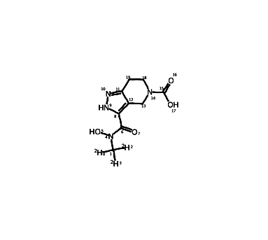 [2H]C([2H])([2H])N(O)C(=O)c1[nH]nc2c1CN(C(=O)O)CC2